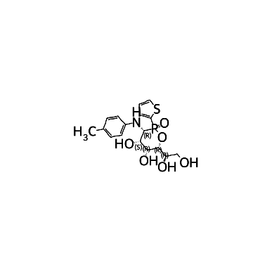 Cc1ccc(N[C@H]2[C@@H](O)[C@@H](O)[C@@H]([C@H](O)CO)OP2(=O)c2cccs2)cc1